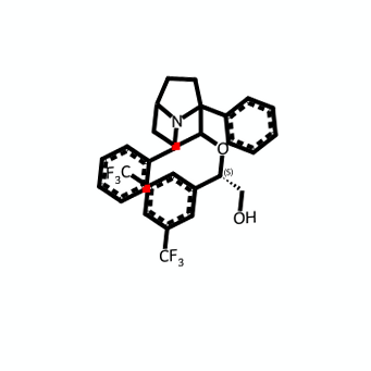 OC[C@@H](OC1CCC2CCC1(c1ccccc1)N2Cc1ccccc1)c1cc(C(F)(F)F)cc(C(F)(F)F)c1